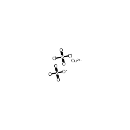 O=S(=O)(Cl)Cl.O=S(=O)([O-])[O-].[Cu+2]